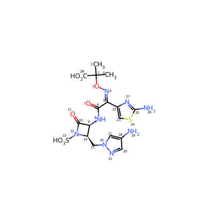 CC(C)(O/N=C(\C(=O)N[C@@H]1C(=O)N(S(=O)(=O)O)[C@@H]1Cn1cc(N)cn1)c1csc(N)n1)C(=O)O